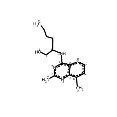 CCCCC(CO)Nc1nc(N)nc2c(C)ccnc12